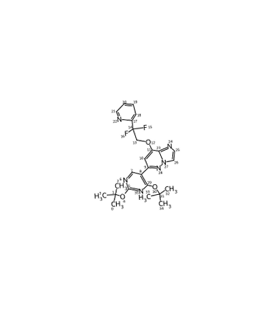 CC(C)(C)Oc1ncc(-c2cc(OCC(F)(F)c3ccccn3)c3nccn3n2)c(OC(C)(C)C)n1